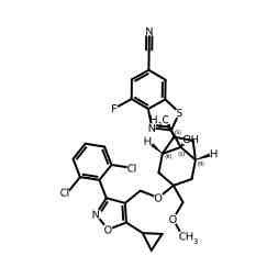 COCC1(OCc2c(-c3c(Cl)cccc3Cl)noc2C2CC2)C[C@H]2C[C@H](C)[C@@H](C1)[C@]2(O)c1nc2c(F)cc(C#N)cc2s1